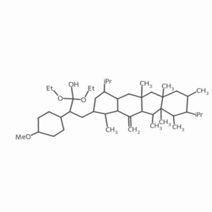 C=C1C2C(C)C(CC(C3CCC(OC)CC3)C(O)(OCC)OCC)CC(C(C)C)C2CC2(C)CC3(C)CC(C)C(C(C)C)C(C)C3(C)C(C)C12